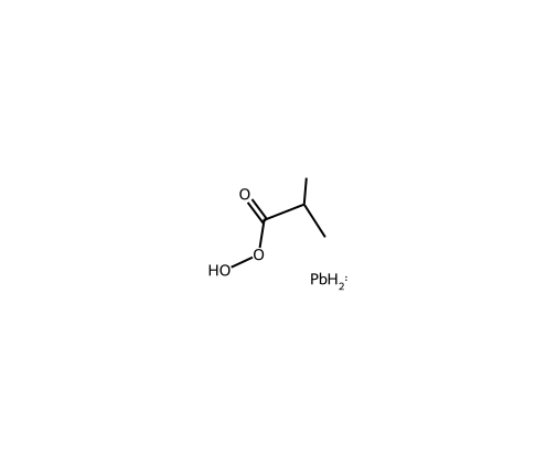 CC(C)C(=O)OO.[PbH2]